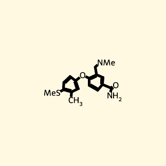 CNCc1cc(C(N)=O)ccc1Oc1ccc(SC)c(C)c1